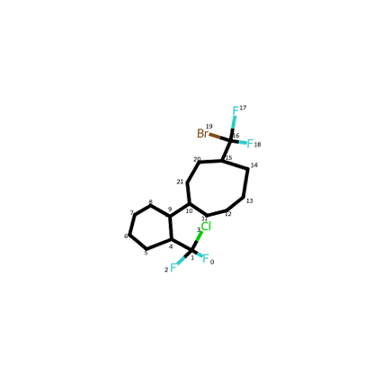 FC(F)(Cl)C1CCCC[C]1C1CCCCC(C(F)(F)Br)CC1